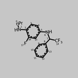 CCCNc1ccc(NC(c2ccccc2)C(F)(F)F)cc1F